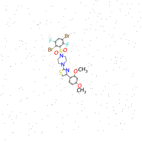 COc1ccc(-c2csc(N3CCN(S(=O)(=O)c4c(F)c(Br)cc(F)c4Br)CC3)n2)c(OC)c1